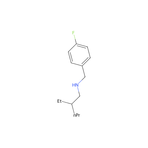 CCCC(CC)CNCc1ccc(F)cc1